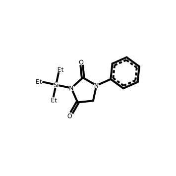 CC[Si](CC)(CC)N1C(=O)CN(c2ccccc2)C1=O